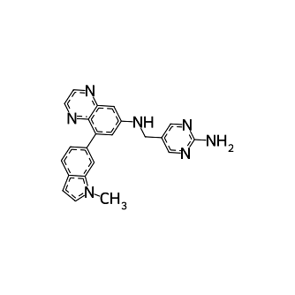 Cn1ccc2ccc(-c3cc(NCc4cnc(N)nc4)cc4nccnc34)cc21